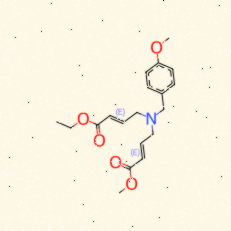 CCOC(=O)/C=C/CN(C/C=C/C(=O)OC)Cc1ccc(OC)cc1